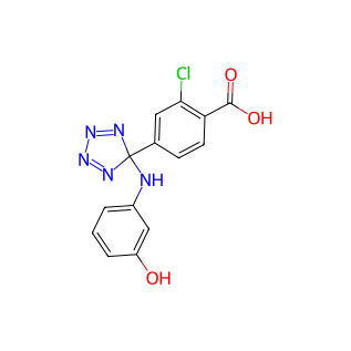 O=C(O)c1ccc(C2(Nc3cccc(O)c3)N=NN=N2)cc1Cl